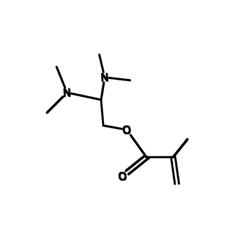 C=C(C)C(=O)OCC(N(C)C)N(C)C